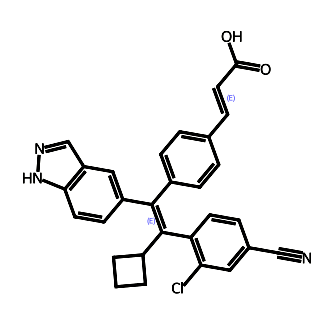 N#Cc1ccc(/C(=C(\c2ccc(/C=C/C(=O)O)cc2)c2ccc3[nH]ncc3c2)C2CCC2)c(Cl)c1